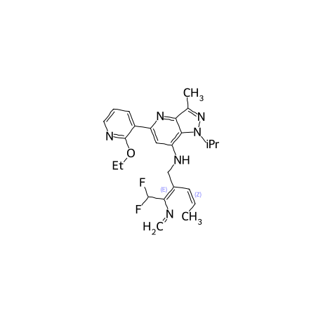 C=N/C(=C(\C=C/C)CNc1cc(-c2cccnc2OCC)nc2c(C)nn(C(C)C)c12)C(F)F